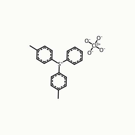 Cc1ccc([S+](c2ccccc2)c2ccc(C)cc2)cc1.[O-][Cl+3]([O-])([O-])[O-]